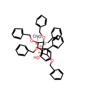 O=C[C@](Cc1ccccc1)(OCc1ccccc1)[C@@](Cc1ccccc1)(OCc1ccccc1)[C@]1(OCc2ccccc2)C(c2ccccc2)C(OCc2ccccc2)[C@H]1O